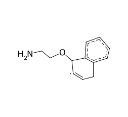 NCCOC1[C]=CCc2ccccc21